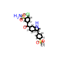 CCS(=O)(=O)c1ccc(-c2c[nH]c3cc(C(=O)c4ccc(Cl)c(S(N)(=O)=O)c4)ccc23)cc1